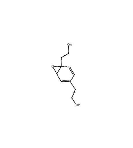 OCCC1=CC2OC2(CCO)C=C1